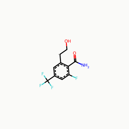 NC(=O)c1c(F)cc(C(F)(F)F)cc1[CH]CO